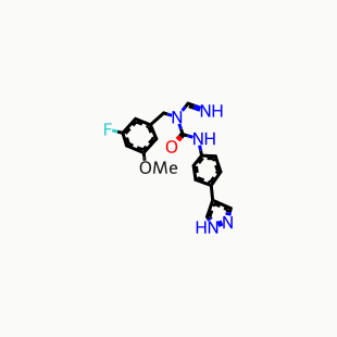 COc1cc(F)cc(CN(C=N)C(=O)Nc2ccc(-c3cn[nH]c3)cc2)c1